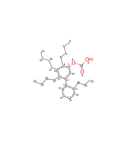 CCCCc1c(OC(=O)O)cc(-c2ccccc2CCC)c(CCCC)c1CCCC